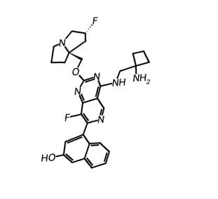 NC1(CNc2nc(OC[C@@]34CCCN3C[C@H](F)C4)nc3c(F)c(-c4cc(O)cc5ccccc45)ncc23)CCC1